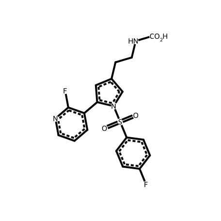 O=C(O)NCCc1cc(-c2cccnc2F)n(S(=O)(=O)c2ccc(F)cc2)c1